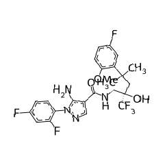 COc1ccc(F)cc1C(C)(C)C[C@@](O)(CNC(=O)c1cnn(-c2ccc(F)cc2F)c1N)C(F)(F)F